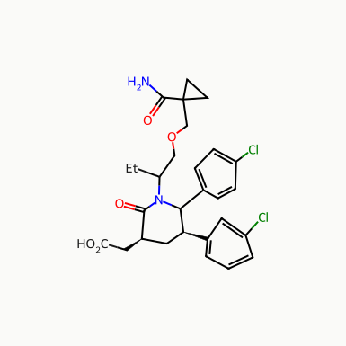 CCC(COCC1(C(N)=O)CC1)N1C(=O)[C@H](CC(=O)O)C[C@H](c2cccc(Cl)c2)C1c1ccc(Cl)cc1